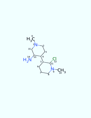 CN1CCC(C2CCCN(C)C2Cl)C(N)C1